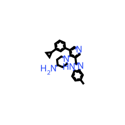 Cc1ccc2[nH]c(-c3cncc(-c4cccc(C5CC5)c4)c3N3CCC(N)CC3)nc2c1